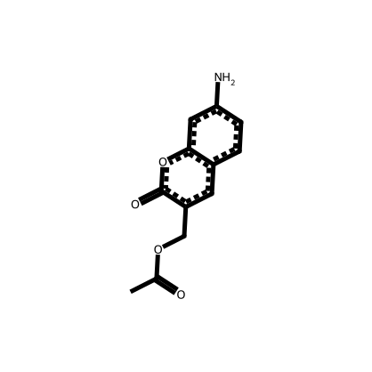 CC(=O)OCc1cc2ccc(N)cc2oc1=O